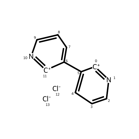 [C+]1=NC=CC=C1C1=CC=CN=[C+]1.[Cl-].[Cl-]